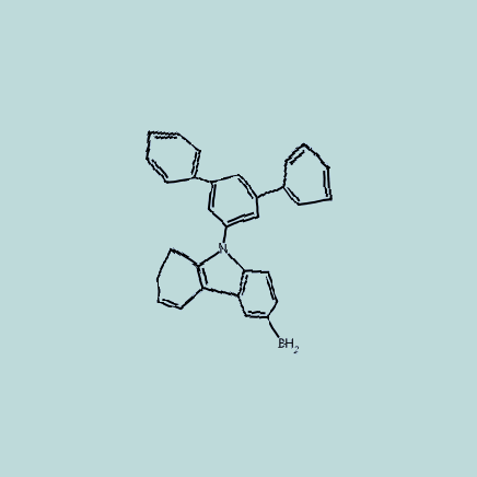 Bc1ccc2c(c1)c1c(n2-c2cc(-c3ccccc3)cc(-c3ccccc3)c2)CCC=C1